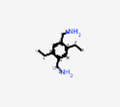 CCc1cc(CN)c(CC)cc1CN